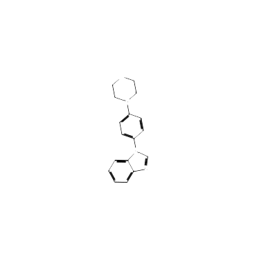 c1ccc2c(c1)ncn2-c1ccc(N2CCOCC2)cc1